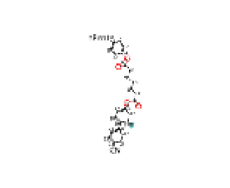 CCCCCc1ccc(OC(=O)CCCCCC(=O)OC2=CC=C(c3ccc(C#N)cc3)C(F)C2)cc1